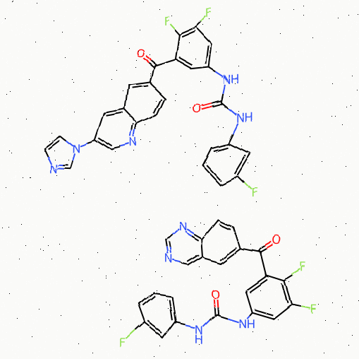 O=C(Nc1cccc(F)c1)Nc1cc(F)c(F)c(C(=O)c2ccc3ncc(-n4ccnc4)cc3c2)c1.O=C(Nc1cccc(F)c1)Nc1cc(F)c(F)c(C(=O)c2ccc3ncncc3c2)c1